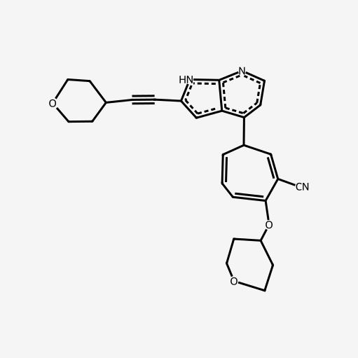 N#CC1=CC(c2ccnc3[nH]c(C#CC4CCOCC4)cc23)C=CC=C1OC1CCOCC1